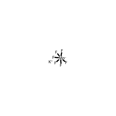 [F][Mn-]([F])([F])([F])([F])[F].[K+]